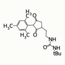 Cc1cc(C)c(C2C(=O)CC(CCNC(=O)NC(C)(C)C)C2=O)c(C)c1